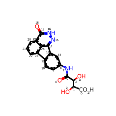 O=C(O)C(O)C(O)C(=O)Nc1ccc2c(c1)-c1n[nH]c(=O)c3cccc-2c13